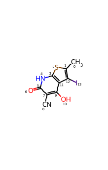 Cc1sc2[nH]c(=O)c(C#N)c(O)c2c1I